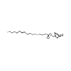 CCCCCCCCCCCCCCCCC(=O)OCc1c[nH]cn1